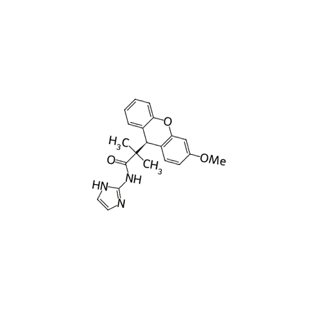 COc1ccc2c(c1)Oc1ccccc1[C@@H]2C(C)(C)C(=O)Nc1ncc[nH]1